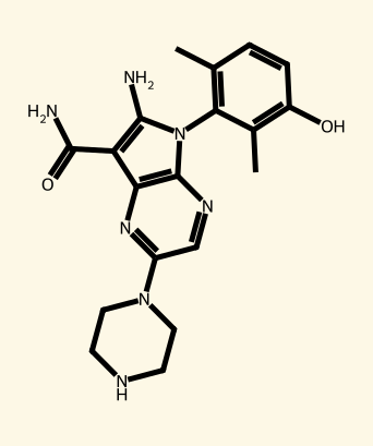 Cc1ccc(O)c(C)c1-n1c(N)c(C(N)=O)c2nc(N3CCNCC3)cnc21